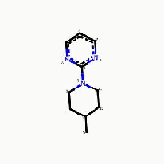 [CH2]C1CCN(c2ncccn2)CC1